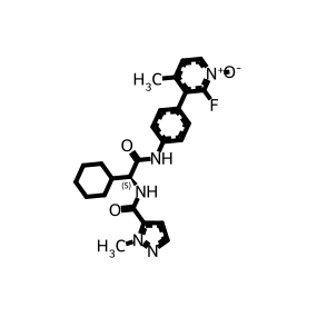 Cc1cc[n+]([O-])c(F)c1-c1ccc(NC(=O)[C@@H](NC(=O)c2ccnn2C)C2CCCCC2)cc1